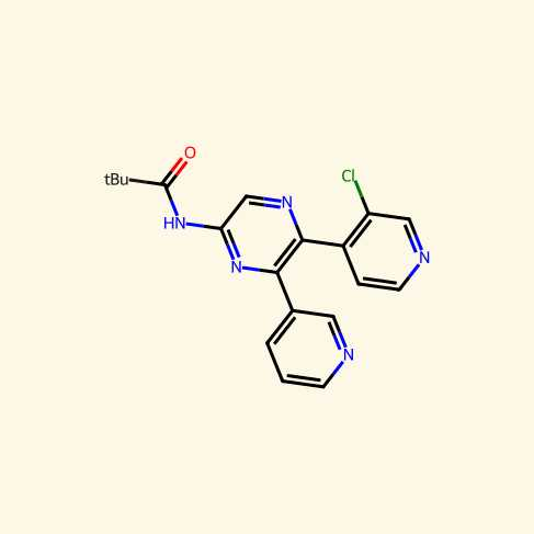 CC(C)(C)C(=O)Nc1cnc(-c2ccncc2Cl)c(-c2cccnc2)n1